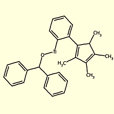 CC1=C(C)C(C)C(c2cccc[c]2[Ti][O]C(c2ccccc2)c2ccccc2)=C1C